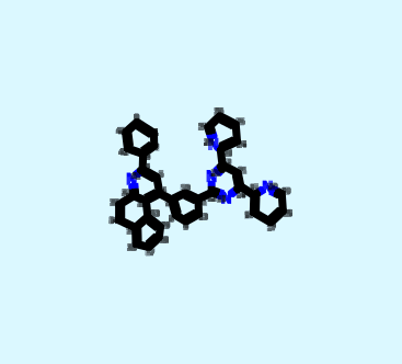 c1ccc(-c2cc(-c3cccc(-c4nc(-c5ccccn5)cc(-c5ccccn5)n4)c3)c3c(ccc4ccccc43)n2)cc1